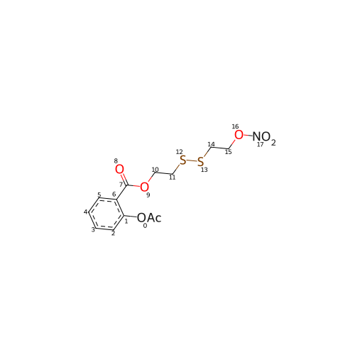 CC(=O)Oc1ccccc1C(=O)OCCSSCCO[N+](=O)[O-]